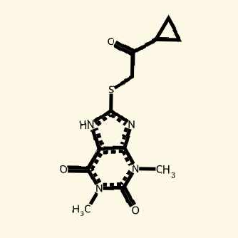 Cn1c(=O)c2[nH]c(SCC(=O)C3CC3)nc2n(C)c1=O